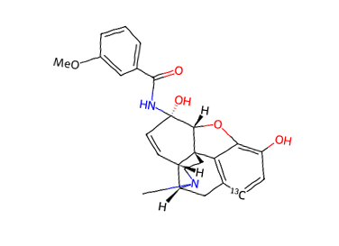 COc1cccc(C(=O)N[C@]2(O)C=C[C@H]3[C@H]4Cc5[13cH]cc(O)c6c5[C@@]3(CCN4C)[C@H]2O6)c1